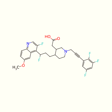 COc1ccc2ncc(F)c(C(F)CCC3CCN(CC#Cc4cc(F)cc(F)c4F)CC3CC(=O)O)c2c1